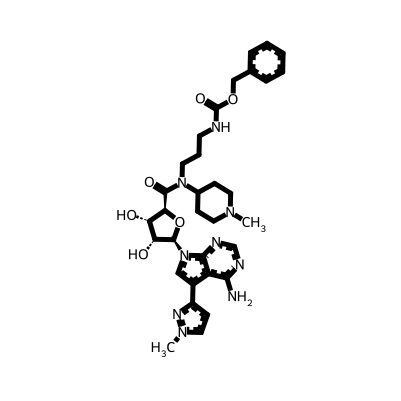 CN1CCC(N(CCCNC(=O)OCc2ccccc2)C(=O)[C@H]2O[C@@H](n3cc(-c4ccn(C)n4)c4c(N)ncnc43)[C@H](O)[C@@H]2O)CC1